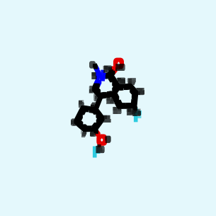 Cn1cc(-c2cccc(OF)c2)c2cc(F)ccc2c1=O